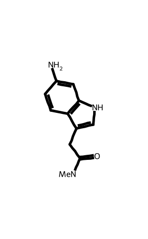 CNC(=O)Cc1c[nH]c2cc(N)ccc12